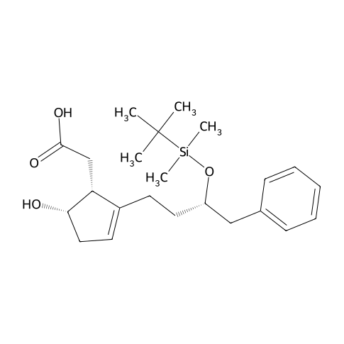 CC(C)(C)[Si](C)(C)O[C@@H](CCC1=CC[C@H](O)[C@@H]1CC(=O)O)Cc1ccccc1